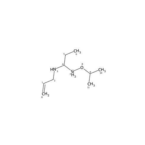 C=CCNC(CC)[SiH2]OC(C)C